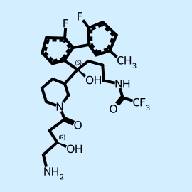 Cc1ccc(F)c(-c2c(F)cccc2[C@](O)(CCCNC(=O)C(F)(F)F)C2CCCN(C(=O)C[C@@H](O)CN)C2)c1